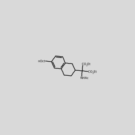 CCCCCCCCc1ccc2c(c1)CCC(C(NC(C)=O)(C(=O)OCC)C(=O)OCC)C2